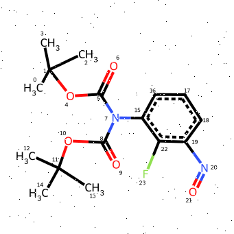 CC(C)(C)OC(=O)N(C(=O)OC(C)(C)C)c1cccc(N=O)c1F